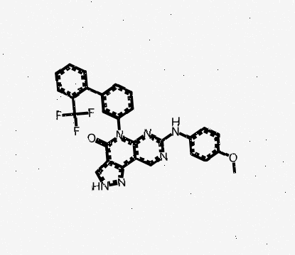 COc1ccc(Nc2ncc3c4n[nH]cc4c(=O)n(-c4cccc(-c5ccccc5C(F)(F)F)c4)c3n2)cc1